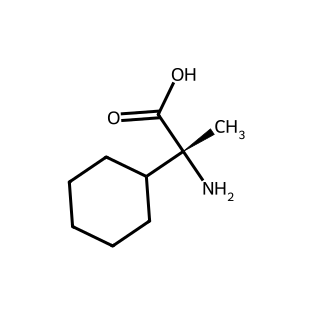 C[C@](N)(C(=O)O)C1CCCCC1